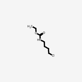 CCOC(=O)NCCCCCl